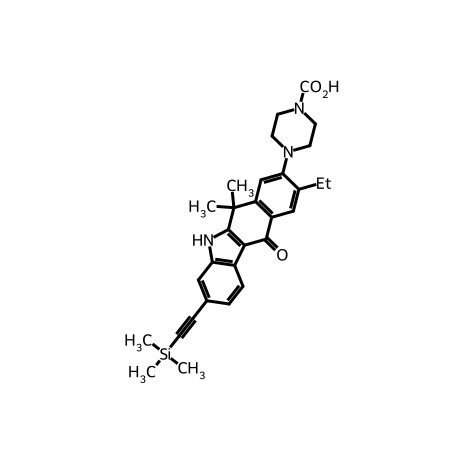 CCc1cc2c(cc1N1CCN(C(=O)O)CC1)C(C)(C)c1[nH]c3cc(C#C[Si](C)(C)C)ccc3c1C2=O